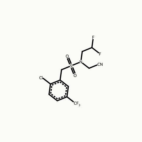 N#CCN(CC(F)F)S(=O)(=O)Cc1cc(C(F)(F)F)ccc1Cl